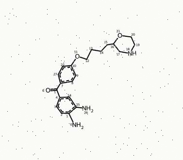 Nc1ccc(C(=O)c2ccc(OCCCCC3CNCCO3)cc2)cc1N